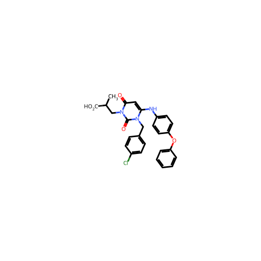 CC(Cn1c(=O)cc(Nc2ccc(Oc3ccccc3)cc2)n(Cc2ccc(Cl)cc2)c1=O)C(=O)O